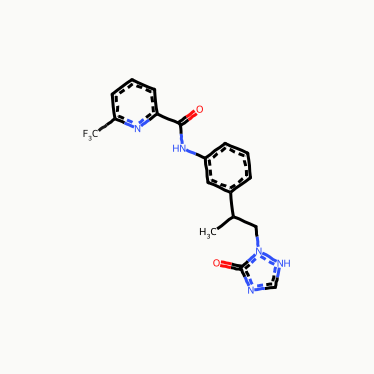 CC(Cn1[nH]cnc1=O)c1cccc(NC(=O)c2cccc(C(F)(F)F)n2)c1